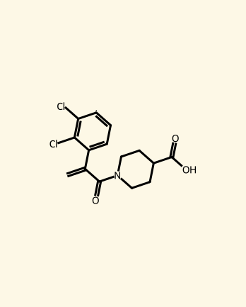 C=C(C(=O)N1CCC(C(=O)O)CC1)c1cc[c]c(Cl)c1Cl